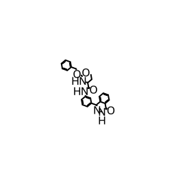 CCC(NC(=O)OCc1ccccc1)C(=O)Nc1cccc(-c2n[nH]c(=O)c3ccccc23)c1